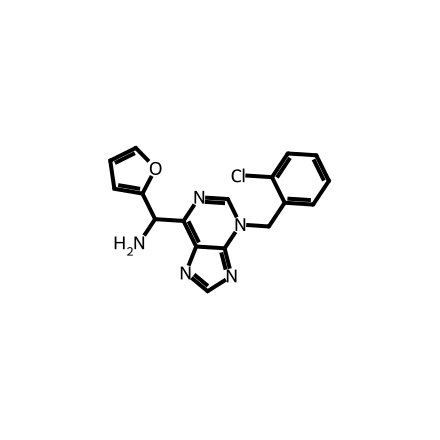 NC(c1ccco1)c1ncn(Cc2ccccc2Cl)c2ncnc1-2